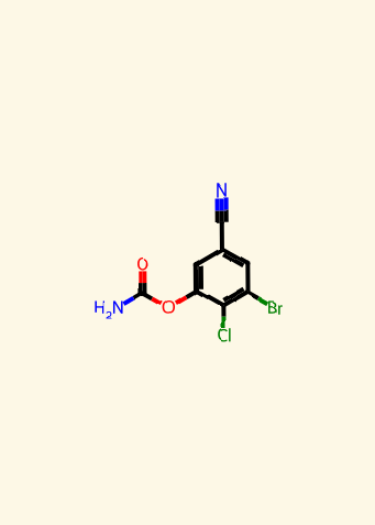 N#Cc1cc(Br)c(Cl)c(OC(N)=O)c1